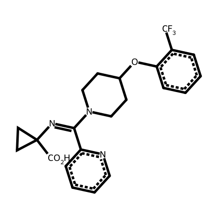 O=C(O)C1(/N=C(\c2ccccn2)N2CCC(Oc3ccccc3C(F)(F)F)CC2)CC1